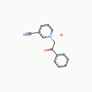 N#Cc1ccc[n+](CC(=O)c2ccccc2)c1.[Br-]